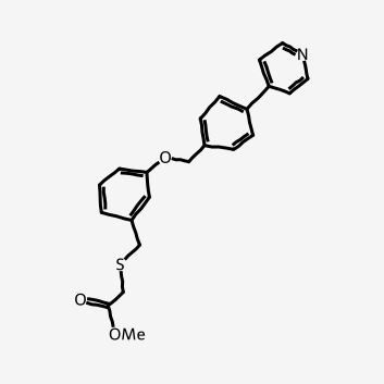 COC(=O)CSCc1cccc(OCc2ccc(-c3ccncc3)cc2)c1